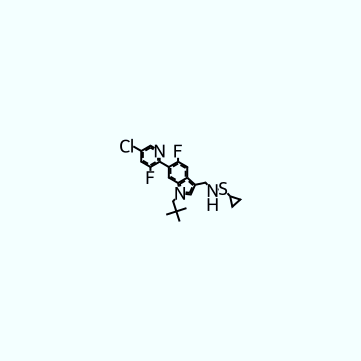 CC(C)(C)Cn1cc(CNSC2CC2)c2cc(F)c(-c3ncc(Cl)cc3F)cc21